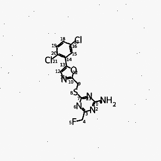 Nc1nc(CF)nc(SCc2ncc(-c3cc(Cl)ccc3Cl)o2)n1